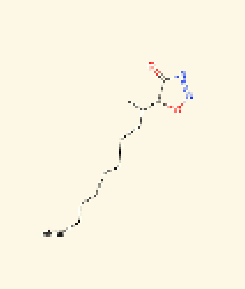 CCCCCCCCCCCCCCCCC(C)C1ON=NC1=O